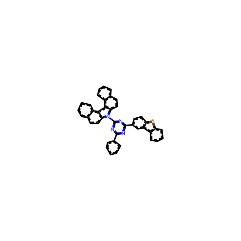 c1ccc(-c2nc(-c3ccc4sc5ccccc5c4c3)nc(-n3c4ccc5ccccc5c4c4c5ccccc5ccc43)n2)cc1